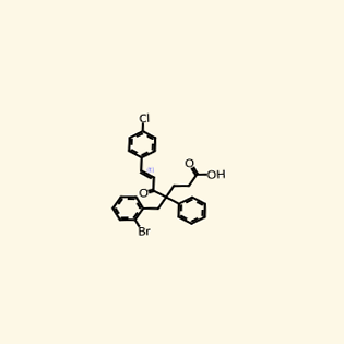 O=C(O)CCC(Cc1ccccc1Br)(C(=O)/C=C/c1ccc(Cl)cc1)c1ccccc1